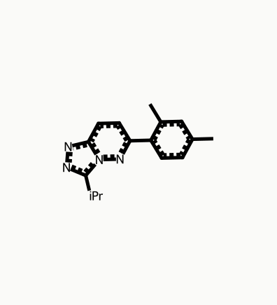 Cc1ccc(-c2ccc3nnc(C(C)C)n3n2)c(C)c1